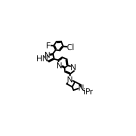 CC(C)N1CC2CN(c3cnc4ccc(-c5c[nH]nc5-c5cc(Cl)ccc5F)nc4c3)C2C1